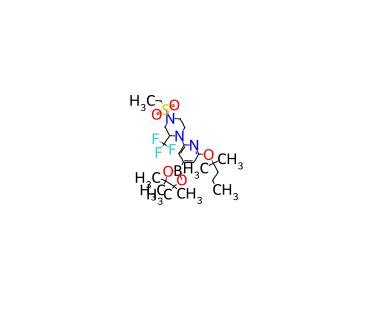 CCCC(C)(C)Oc1cc(B2OC(C)(C)C(C)(C)O2)cc(N2CCN(S(=O)(=O)CC)CC2C(F)(F)F)n1